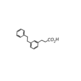 O=C(O)CCc1cccc(CCc2ccccc2)c1